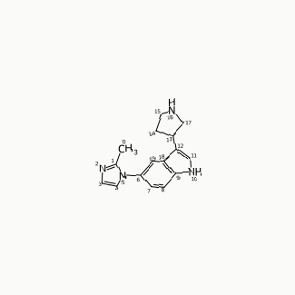 Cc1nccn1-c1ccc2[nH]cc(C3CCNC3)c2c1